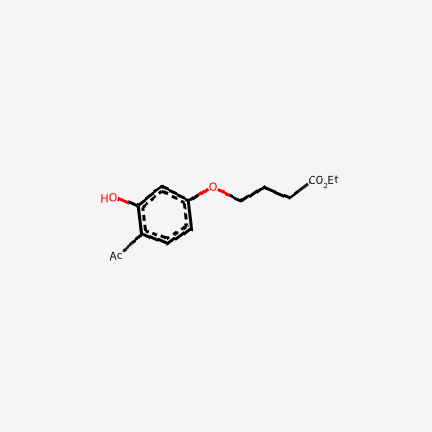 CCOC(=O)CCCOc1ccc(C(C)=O)c(O)c1